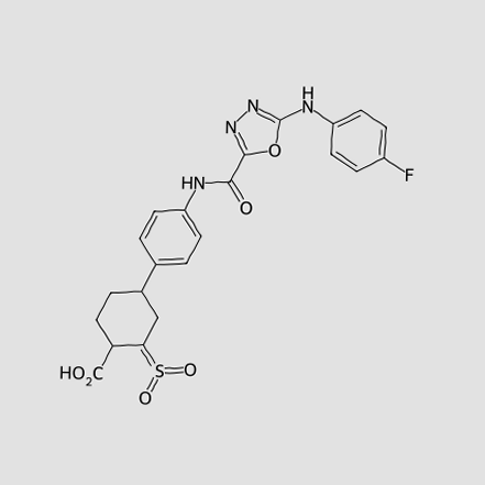 O=C(Nc1ccc(C2CCC(C(=O)O)C(=S(=O)=O)C2)cc1)c1nnc(Nc2ccc(F)cc2)o1